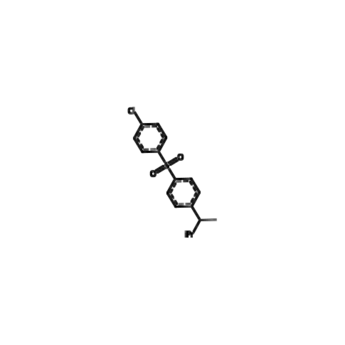 CC(C)C(C)c1ccc(S(=O)(=O)c2ccc(Cl)cc2)cc1